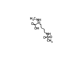 CN[C@@H](CCCCNS(C)(=O)=O)C(=O)O